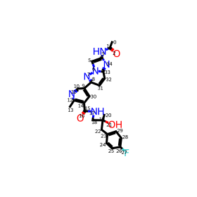 CC(=O)Nc1cn2nc(-c3cnc(C)c(C(=O)NCC(C)(O)Cc4ccc(F)cc4)c3)ccc2n1